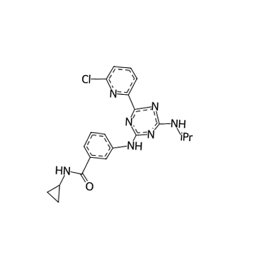 CC(C)Nc1nc(Nc2cccc(C(=O)NC3CC3)c2)nc(-c2cccc(Cl)n2)n1